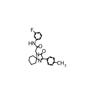 Cc1ccc(C2=NC3(CCCCC3)N(CC(=O)Nc3cccc(F)c3)C2=O)cc1